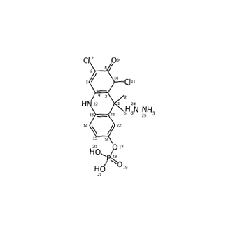 CC1(C)C2=C(C=C(Cl)C(=O)C2Cl)Nc2ccc(OP(=O)(O)O)cc21.N.N